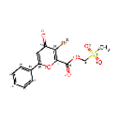 CS(=O)(=O)COC(=O)c1oc(-c2ccccc2)cc(=O)c1Br